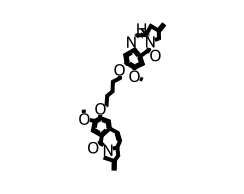 C=C1CC2C=Cc3cc(OCCCCCOc4cc5c(cc4OC)C(=O)N4CC(=C)C[C@H]4C=N5)c(OC)cc3C(=O)N2C1